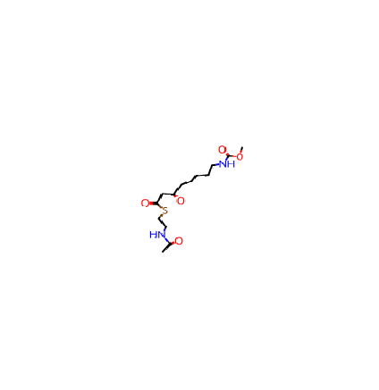 COC(=O)NCCCCCC(=O)CC(=O)SCCNC(C)=O